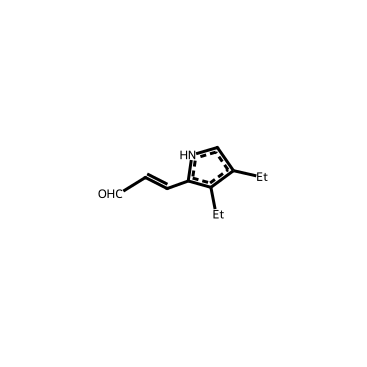 CCc1c[nH]c(C=CC=O)c1CC